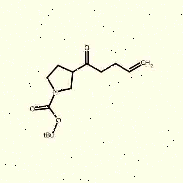 C=CCCC(=O)C1CCN(C(=O)OC(C)(C)C)C1